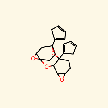 C1=CCC(C23CCC4(OC4C2)OC2C4OC4CCC2(C2=CC=CC2)O3)=C1